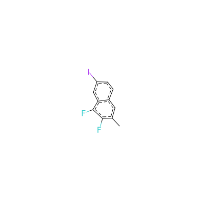 Cc1cc2ccc(I)cc2c(F)c1F